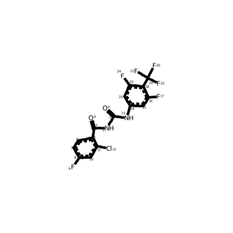 O=C(NC(=O)c1ccc(F)cc1Cl)Nc1cc(F)c(C(F)(F)F)c(F)c1